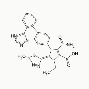 CCC1C(C(=O)O)=C(C(N)=O)C(c2ccc(-c3ccccc3-c3nnn[nH]3)cc2)C1=C1N=NC(C)S1